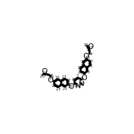 c1cc2cc(Oc3ccc(Oc4ccc5cc(OCC6CO6)ccc5c4)nn3)ccc2cc1OCC1CO1